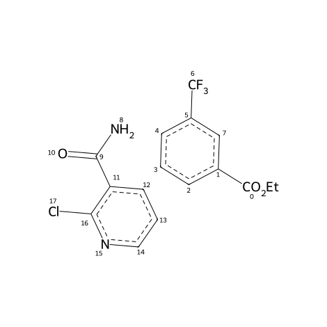 CCOC(=O)c1cccc(C(F)(F)F)c1.NC(=O)c1cccnc1Cl